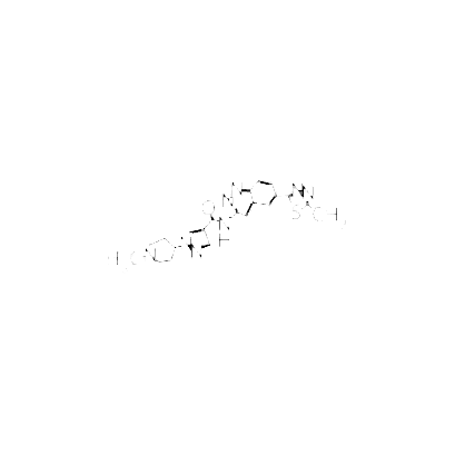 Cc1nnc(-c2ccc3nnc(NC(=O)c4cnn(C5CCN(C)CC5)c4)cc3c2)s1